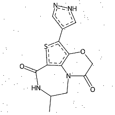 CC1CN2C(=O)COc3c(-c4cn[nH]c4)sc(c32)C(=O)N1